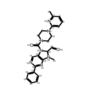 Cc1cccc(N2CCN(C(=O)N3c4cnc(-c5ccccc5)nc4N(C)C3C=O)CC2)n1